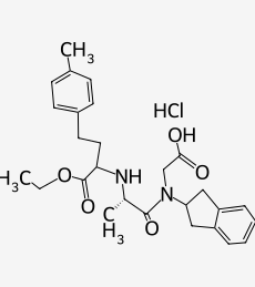 CCOC(=O)C(CCc1ccc(C)cc1)N[C@@H](C)C(=O)N(CC(=O)O)C1Cc2ccccc2C1.Cl